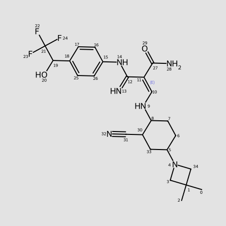 CC1(C)CN(C2CCC(N/C=C(\C(=N)Nc3ccc(C(O)C(F)(F)F)cc3)C(N)=O)C(C#N)C2)C1